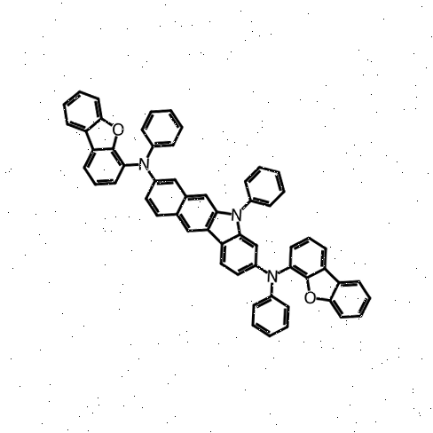 c1ccc(N(c2ccc3cc4c5ccc(N(c6ccccc6)c6cccc7c6oc6ccccc67)cc5n(-c5ccccc5)c4cc3c2)c2cccc3c2oc2ccccc23)cc1